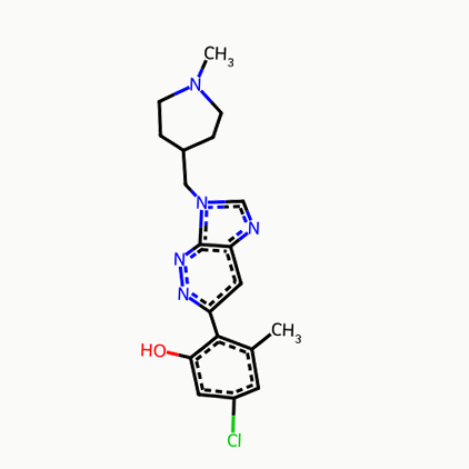 Cc1cc(Cl)cc(O)c1-c1cc2ncn(CC3CCN(C)CC3)c2nn1